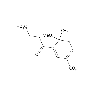 COC1(C)CC=C(C(=O)O)C=C1C(=O)CCC(=O)O